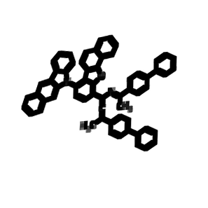 CC(=C=C(/N=C(\C)c1ccc(-c2ccccc2)cc1)c1ccc(-n2c3ccccc3c3cc4ccccc4cc32)c2c1oc1c3ccccc3ccc12)c1ccc(-c2ccccc2)cc1